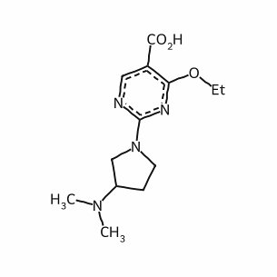 CCOc1nc(N2CCC(N(C)C)C2)ncc1C(=O)O